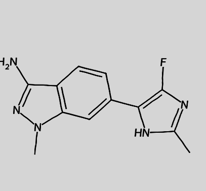 Cc1nc(F)c(-c2ccc3c(N)nn(C)c3c2)[nH]1